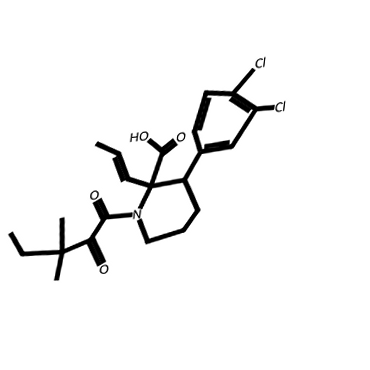 CC=CC1(C(=O)O)C(c2ccc(Cl)c(Cl)c2)CCCN1C(=O)C(=O)C(C)(C)CC